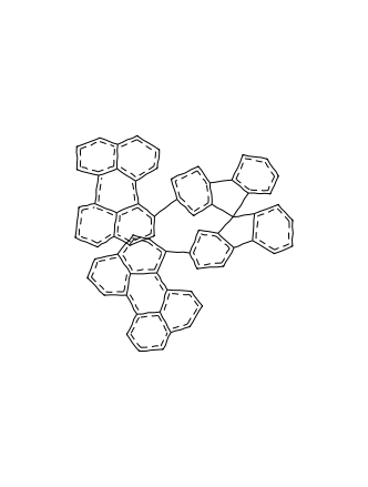 c1ccc2c(c1)-c1ccc(-c3ccc4cccc5c6cccc7cccc(c3c45)c76)cc1C21c2ccccc2-c2ccc(-c3ccc4cccc5c6cccc7cccc(c3c45)c76)cc21